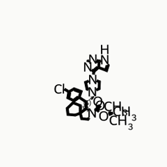 CC(C)(C)OC(=O)N1CCC2(CCCCC2)[C@H]1[C@@H](C(=O)N1CCN(c2ncnc3[nH]ccc23)CC1)c1ccc(Cl)cc1